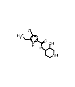 CCc1[nH]c(C(=O)NC2CCNCC2O)nc1Cl